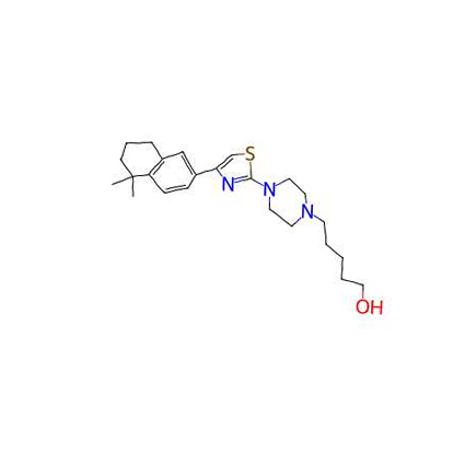 CC1(C)CCCc2cc(-c3csc(N4CCN(CCCCCO)CC4)n3)ccc21